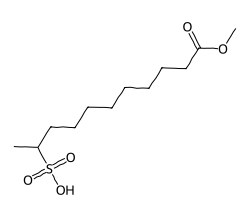 COC(=O)CCCCCCCCC(C)S(=O)(=O)O